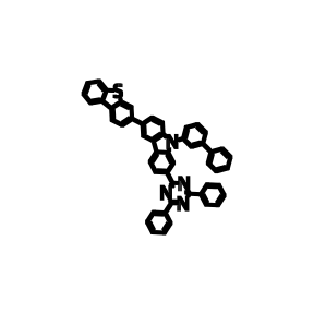 c1ccc(-c2cccc(-n3c4ccc(-c5ccc6c(c5)sc5ccccc56)cc4c4ccc(-c5nc(-c6ccccc6)nc(-c6ccccc6)n5)cc43)c2)cc1